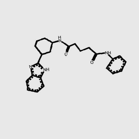 O=C(CCCC(=O)NC1CCCC(c2nc3ccccc3[nH]2)C1)Nc1ccccc1